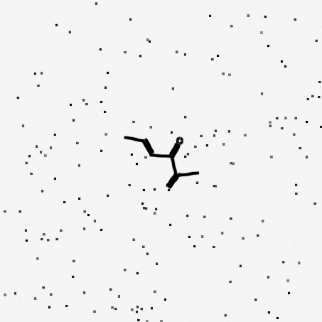 C=C(C)C(=O)/C=C/C